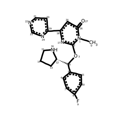 Cn1c(OC(c2ccc(F)cc2)[C@@H]2CCCN2)nc(-c2ccncn2)cc1=O